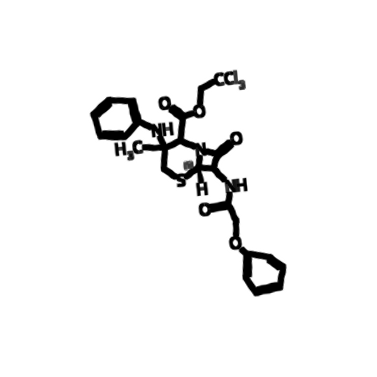 CC1(Nc2ccccc2)CS[C@H]2C(NC(=O)COc3ccccc3)C(=O)N2C1C(=O)OCC(Cl)(Cl)Cl